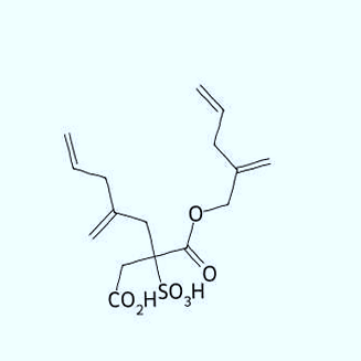 C=CCC(=C)COC(=O)C(CC(=C)CC=C)(CC(=O)O)S(=O)(=O)O